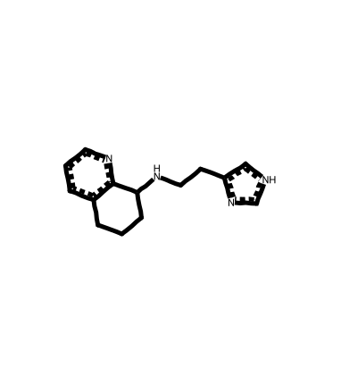 c1cnc2c(c1)CCCC2NCCc1c[nH]cn1